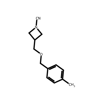 Cc1ccc(COCC2CN(C#N)C2)cc1